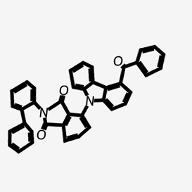 O=C(c1ccccc1)c1cccc2c1c1ccccc1n2-c1cccc2c1C(=O)N(c1ccccc1-c1ccccc1)C2=O